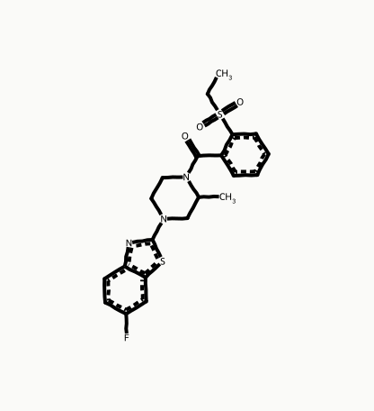 CCS(=O)(=O)c1ccccc1C(=O)N1CCN(c2nc3ccc(F)cc3s2)CC1C